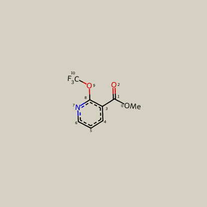 COC(=O)c1cccnc1OC(F)(F)F